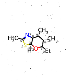 CCC1O[C@H]2SC(C)=NC2[C@@H](C)[C@@H]1C